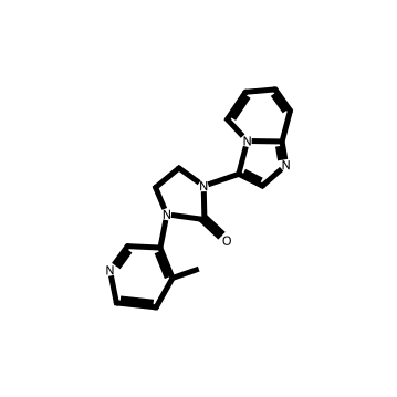 Cc1ccncc1N1CCN(c2cnc3ccccn23)C1=O